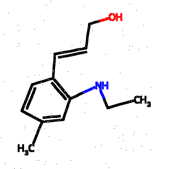 CCNc1cc(C)ccc1/C=C/CO